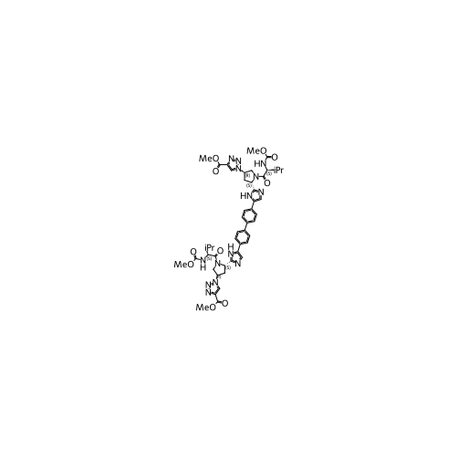 COC(=O)N[C@H](C(=O)N1C[C@H](n2cc(C(=O)OC)nn2)C[C@H]1c1ncc(-c2ccc(-c3ccc(-c4cnc([C@@H]5C[C@@H](n6cc(C(=O)OC)nn6)CN5C(=O)[C@@H](NC(=O)OC)C(C)C)[nH]4)cc3)cc2)[nH]1)C(C)C